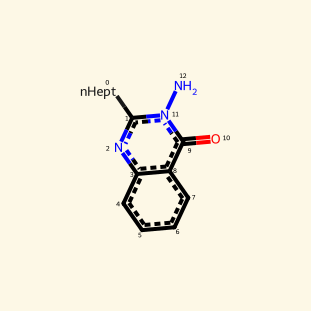 CCCCCCCc1nc2ccccc2c(=O)n1N